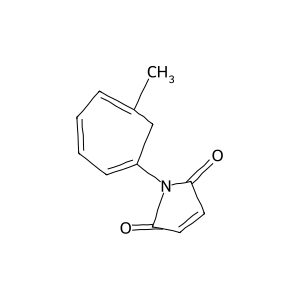 CC1=CC=CC=C(N2C(=O)C=CC2=O)C1